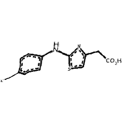 CC(=O)c1ccc(Nc2nc(CC(=O)O)cs2)cc1